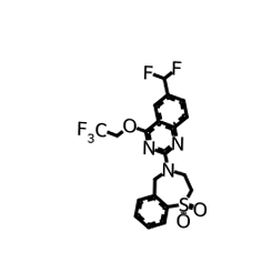 O=S1(=O)CCN(c2nc(OCC(F)(F)F)c3cc(C(F)F)ccc3n2)Cc2ccccc21